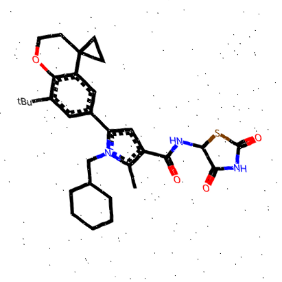 Cc1c(C(=O)NC2SC(=O)NC2=O)cc(-c2cc(C(C)(C)C)c3c(c2)C2(CCO3)CC2)n1CC1CCCCC1